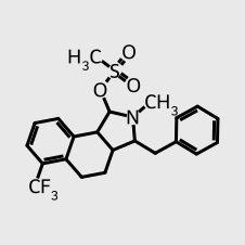 CN1C(Cc2ccccc2)C2CCc3c(cccc3C(F)(F)F)C2C1OS(C)(=O)=O